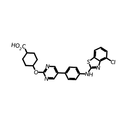 O=C(O)C1CCC(Oc2ncc(-c3ccc(Nc4nc5c(Cl)cccc5s4)cc3)cn2)CC1